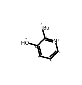 [CH2]C(C)(C)c1ncccc1O